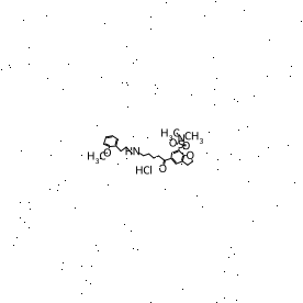 COc1ccccc1CCCNCCCCC(=O)c1cc2c(c(S(=O)(=O)N(C)C)c1)OCC2.Cl